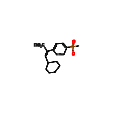 CCOC(=O)C(=CC1CCCCC1)c1ccc(S(C)(=O)=O)cc1